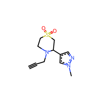 C#CCN1CCS(=O)(=O)CC1c1cnn(C)c1